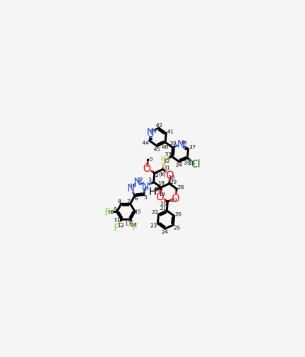 COC1C(n2cc(-c3cc(F)c(F)c(F)c3)nn2)[C@H]2OC(c3ccccc3)OCC2O[C@@H]1Sc1cc(Cl)cnc1-c1ccncc1